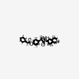 O=C(CC1CCCCC1)Oc1ccc(C2CNN(c3ccc4cnccc4c3)C2=O)cc1